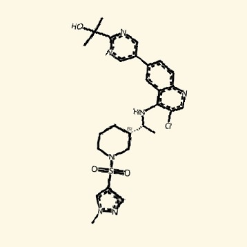 CC(Nc1c(Cl)cnc2ccc(-c3cnc(C(C)(C)O)nc3)cc12)[C@H]1CCCN(S(=O)(=O)c2cnn(C)c2)C1